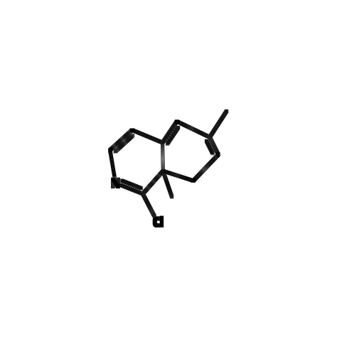 CC1=CCC2(C)C(=C1)C=CN=C2Cl